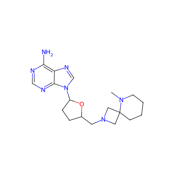 CN1CCCCC12CN(CC1CCC(n3cnc4c(N)ncnc43)O1)C2